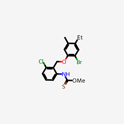 CCc1cc(Br)c(OCc2c(Cl)cccc2NC(=S)OC)cc1C